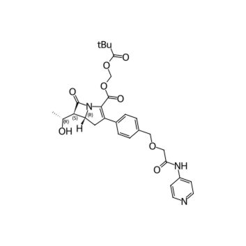 C[C@@H](O)[C@H]1C(=O)N2C(C(=O)OCOC(=O)C(C)(C)C)=C(c3ccc(COCC(=O)Nc4ccncc4)cc3)C[C@H]12